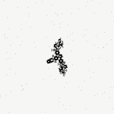 COC(=O)N[C@H](C(=O)N1CCC[C@H]1c1nc2cc([C@H]3CC[C@H](c4ccc5[nH]c([C@@H]6CCCN6C(=O)[C@@H](NC(=O)OC)C(C)C)nc5c4)N3c3cc(F)c(N4CCC5(CCCC5)CC4)c(F)c3)ccc2[nH]1)C(C)C